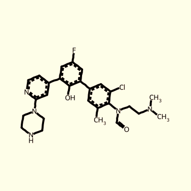 Cc1cc(-c2cc(F)cc(-c3ccnc(N4CCNCC4)c3)c2O)cc(Cl)c1N(C=O)CCN(C)C